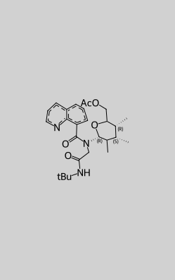 CC(=O)OCC1O[C@@H](N(CC(=O)NC(C)(C)C)C(=O)c2cccc3cccnc23)C(C)[C@@H](C)[C@H]1C